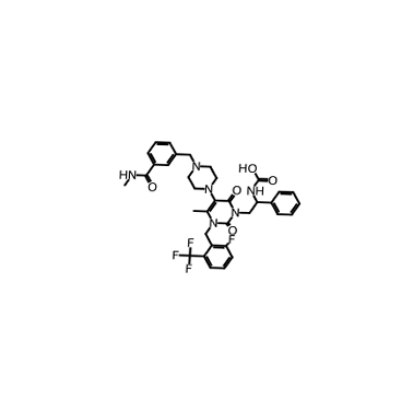 CNC(=O)c1cccc(CN2CCN(c3c(C)n(Cc4c(F)cccc4C(F)(F)F)c(=O)n(CC(NC(=O)O)c4ccccc4)c3=O)CC2)c1